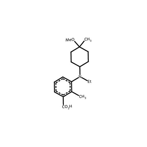 CCN(c1cccc(C(=O)O)c1C)C1CCC(C)(OC)CC1